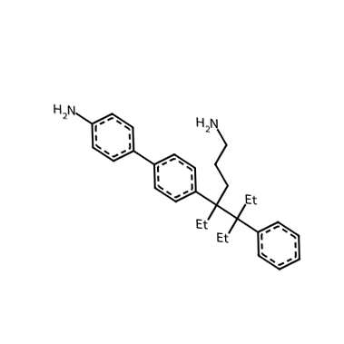 CCC(CC)(c1ccccc1)C(CC)(CCCN)c1ccc(-c2ccc(N)cc2)cc1